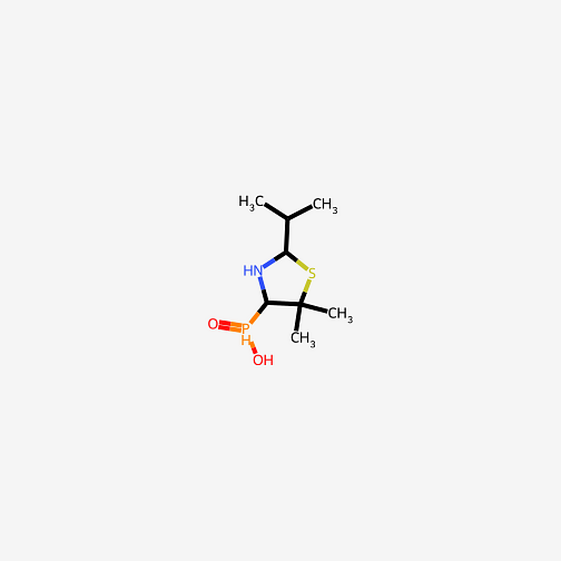 CC(C)C1NC([PH](=O)O)C(C)(C)S1